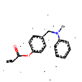 C=CC(=O)Oc1ccc(CN(CC)c2ccccc2)cc1